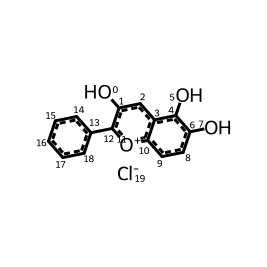 Oc1cc2c(O)c(O)ccc2[o+]c1-c1ccccc1.[Cl-]